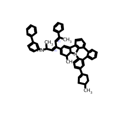 C/C(=C\C(=C/C(C)Nc1cccc(-c2ccccc2)c1)C1=CC(C)C2C(=C1)c1cccc3c1N2c1ccc(C2=CCC(C)CC2)cc1-c1ccccc1-3)c1ccccc1